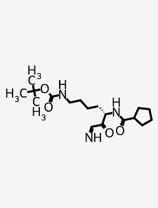 CC(C)(C)OC(=O)NCCCC[C@H](NC(=O)C1CCCC1)C(=O)C=N